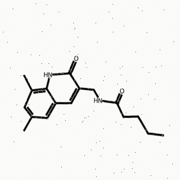 CCCCC(=O)NCc1cc2cc(C)cc(C)c2[nH]c1=O